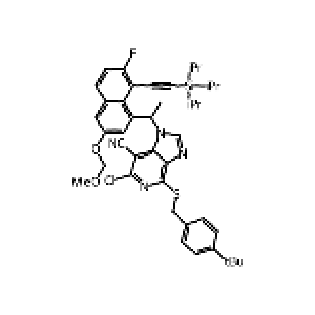 COCOc1cc(C(C)n2cnc3c(SCc4ccc(C(C)(C)C)cc4)nc(Cl)c(C#N)c32)c2c(C#C[Si](C(C)C)(C(C)C)C(C)C)c(F)ccc2c1